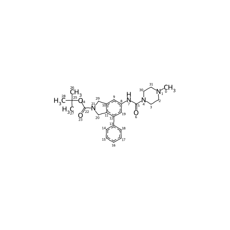 CN1CCN(C(=O)Nc2cc3c(c(-c4ccccc4)c2)CN(C(=O)OC(C)(C)C)C3)CC1